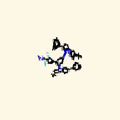 CC(C)(C)c1ccc2c(c1)c1ccc(-c3ccccc3)cc1n2C1=CC(n2c3ccc(C(C)(C)C)cc3c3ccc(-c4ccccc4)cc32)CC(c2cc(F)c(C#N)c(F)c2)=C1